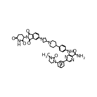 CN1CCN(C2CC3CCC2N(c2cnc(C(N)=O)c(Nc4ccc(C5CCN(C6CN(c7ccc8c(c7)C(=O)N(C7CCC(=O)NC7=O)C8=O)C6)CC5)cc4)n2)C3)C1=O